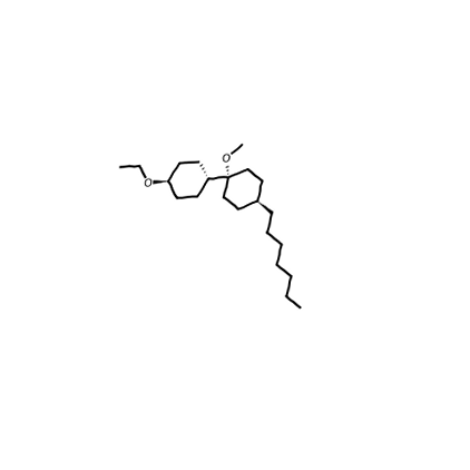 CCCCCCC[C@H]1CC[C@@](OC)([C@H]2CC[C@H](OCC)CC2)CC1